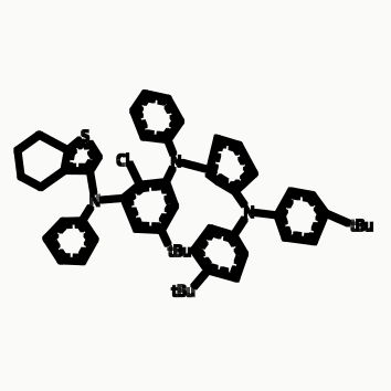 CC(C)(C)c1ccc(N(c2ccc(C(C)(C)C)cc2)c2cccc(N(c3ccccc3)c3cc(C(C)(C)C)cc(N(c4ccccc4)c4csc5c4CCCC5)c3Cl)c2)cc1